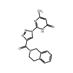 Cc1cc(=O)[nH]c(-n2cc(C(=O)N3CCc4ccccc4C3)nn2)n1